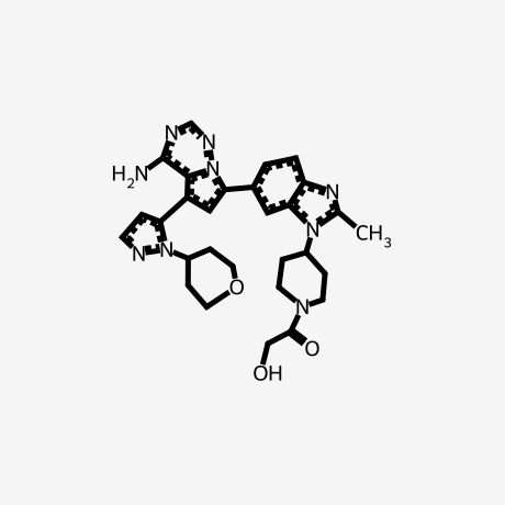 Cc1nc2ccc(-c3cc(-c4ccnn4C4CCOCC4)c4c(N)ncnn34)cc2n1C1CCN(C(=O)CO)CC1